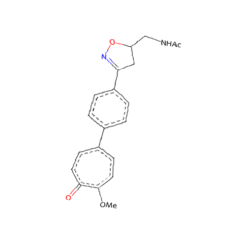 COc1ccc(-c2ccc(C3=NOC(CNC(C)=O)C3)cc2)ccc1=O